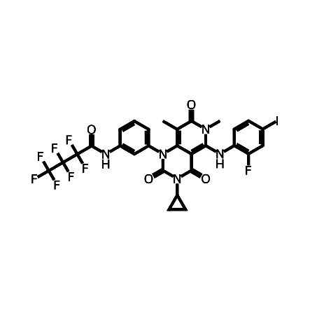 Cc1c(=O)n(C)c(Nc2ccc(I)cc2F)c2c(=O)n(C3CC3)c(=O)n(-c3cccc(NC(=O)C(F)(F)C(F)(F)C(F)(F)F)c3)c12